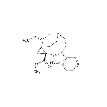 C/C=C1/CN2CCc3c([nH]c4ccccc34)[C@]3(C(=O)OC)CC13CC2